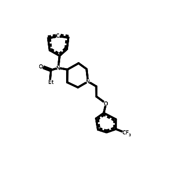 CCC(=O)N(c1ccccc1)C1CCN(CCOc2cccc(C(F)(F)F)c2)CC1